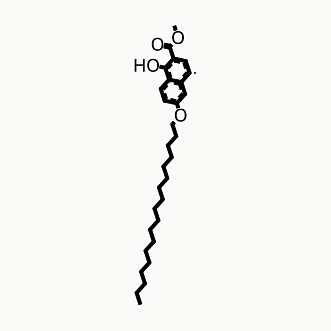 CCCCCCCCCCCCCCCCCCOc1ccc2c(O)c(C(=O)OC)c[c]c2c1